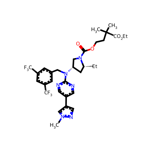 CCOC(=O)C(C)(C)CCOC(=O)N1C[C@@H](N(Cc2cc(C(F)(F)F)cc(C(F)(F)F)c2)c2ncc(-c3cnn(C)c3)cn2)C[C@H]1CC